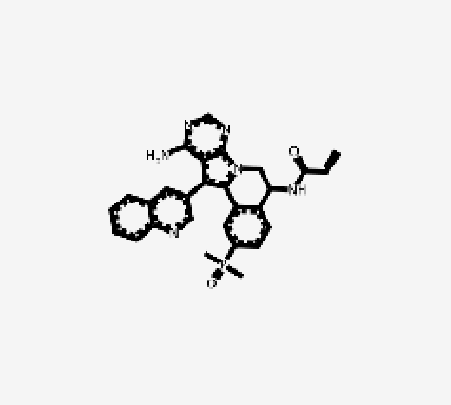 C=CC(=O)NC1Cn2c(c(-c3cnc4ccccc4c3)c3c(N)ncnc32)-c2cc(P(C)(C)=O)ccc21